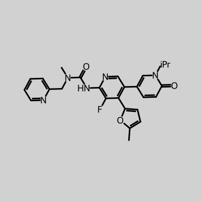 Cc1ccc(-c2c(-c3ccc(=O)n(C(C)C)c3)cnc(NC(=O)N(C)Cc3ccccn3)c2F)o1